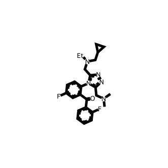 CCN(Cc1nnc(CN(C)C)n1-c1ccc(F)cc1C(=O)c1ccccc1F)CC1CC1